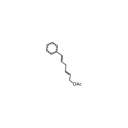 CC(=O)OC/C=C/C/C=C/c1ccccc1